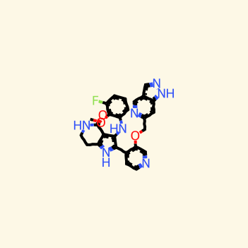 COc1c(F)cccc1Nc1c(-c2ccncc2OCc2cc3[nH]ncc3cn2)[nH]c2c1C(=O)NCC2